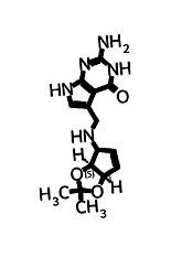 CC1(C)O[C@@H]2C=CC(NCc3c[nH]c4nc(N)[nH]c(=O)c34)[C@@H]2O1